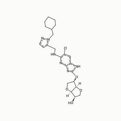 O[C@@H]1CO[C@H]2[C@@H]1OC[C@H]2Oc1nc2nc(NCc3ccnn3CC3CCCCC3)c(Cl)cc2[nH]1